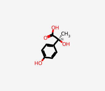 C[C@@](O)(C(=O)O)c1ccc(O)cc1